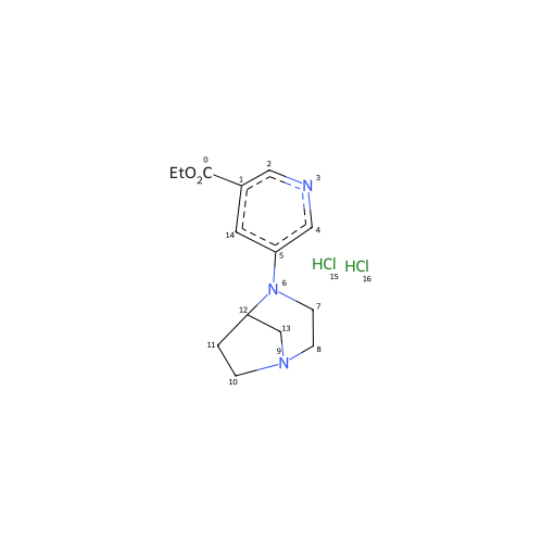 CCOC(=O)c1cncc(N2CCN3CCC2C3)c1.Cl.Cl